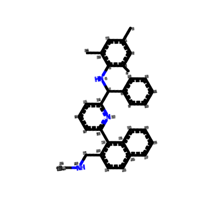 Cc1cc(C)c(NC(c2ccccc2)c2cccc(-c3c(CNC(C)(C)C)ccc4ccccc34)n2)c(C)c1